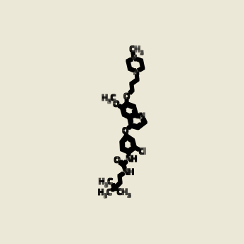 COc1cc2c(Oc3ccc(NC(=O)NCCC(C)(C)C)c(Cl)c3)ccnc2cc1OCCCN1CCN(C)CC1